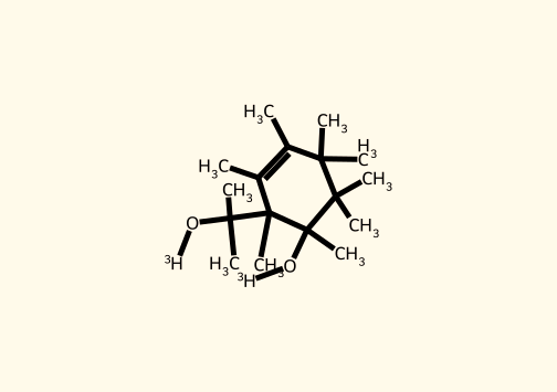 [3H]OC(C)(C)C1(C)C(C)=C(C)C(C)(C)C(C)(C)C1(C)O[3H]